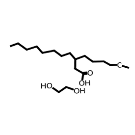 CCCCCCCCC(CCCCCC)CC(=O)O.OCCO